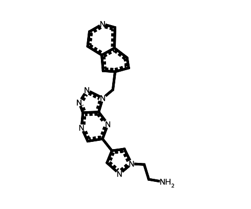 NCCn1cc(-c2cnc3nnn(Cc4ccc5cnccc5c4)c3n2)cn1